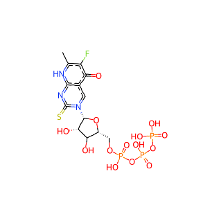 Cc1[nH]c2nc(=S)n([C@@H]3O[C@H](COP(=O)(O)OP(=O)(O)OP(=O)(O)O)C(O)[C@@H]3O)cc2c(=O)c1F